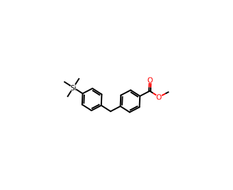 COC(=O)c1ccc(Cc2ccc([Si](C)(C)C)cc2)cc1